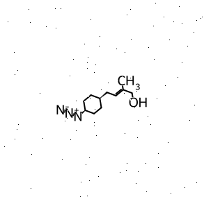 C/C(=C\C[C@H]1CC[C@@H](N=[N+]=[N-])CC1)CO